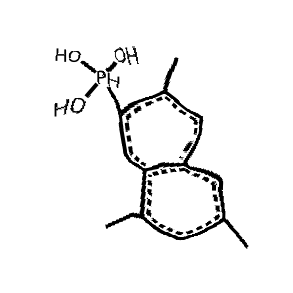 Cc1cc(C)c2cc([PH](O)(O)O)c(C)cc2c1